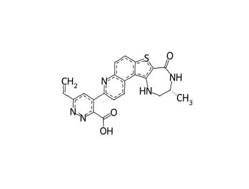 C=Cc1cc(-c2ccc3c(ccc4sc5c(c43)NC[C@@H](C)NC5=O)n2)c(C(=O)O)nn1